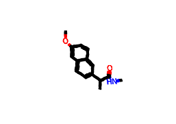 CNC(=O)C(C)c1ccc2cc(OC)ccc2c1